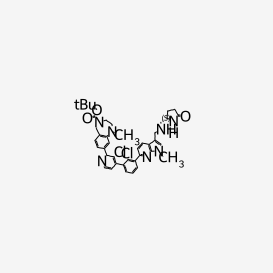 CN1CCN(C(=O)OC(C)(C)C)Cc2ccc(-c3nccc(-c4cccc(-c5ccc6c(CNC[C@@H]7CCC(=O)N7)cn(C)c6n5)c4Cl)c3Cl)cc21